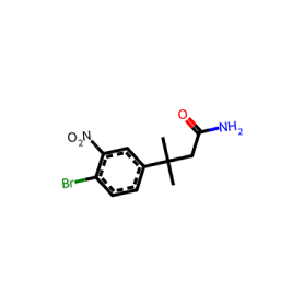 CC(C)(CC(N)=O)c1ccc(Br)c([N+](=O)[O-])c1